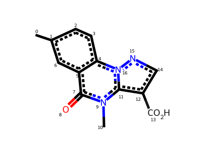 Cc1ccc2c(c1)c(=O)n(C)c1c(C(=O)O)cnn21